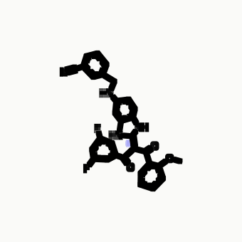 COc1ccccc1C(=O)/C(C(=O)c1cc(F)cc(F)c1)=C1\Nc2ccc(NCc3cccc(C#N)c3)cc2N1